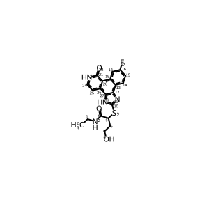 CCNC(=O)C(CCO)Sc1nc2c3ccc(F)cc3c3c(=O)[nH]ccc3c2[nH]1